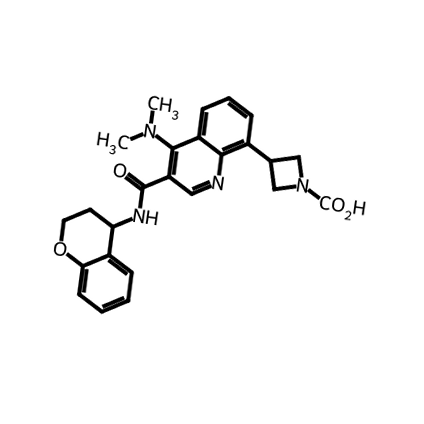 CN(C)c1c(C(=O)NC2CCOc3ccccc32)cnc2c(C3CN(C(=O)O)C3)cccc12